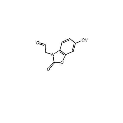 O=CCn1c(=O)oc2cc(O)ccc21